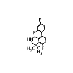 CC1(C)CNCc2c(-c3ccc(F)cc3F)ccc(F)c21